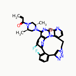 C=CC(=O)N1C[C@H](C)N(c2nc(=O)n3c4nc(c(F)cc24)-c2c(F)cccc2-c2cn(nn2)CCc2ccnc(C(C)C)c2-3)C[C@H]1C